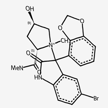 CNC(=O)[C@@H]1C[C@@H](O)C[N+]1(C)C1(c2cccc3c2OCO3)C(=O)Nc2ccc(Br)cc21